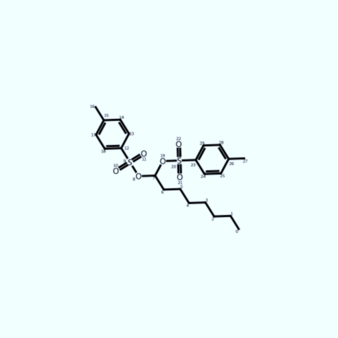 CCCCCCCC(OS(=O)(=O)c1ccc(C)cc1)OS(=O)(=O)c1ccc(C)cc1